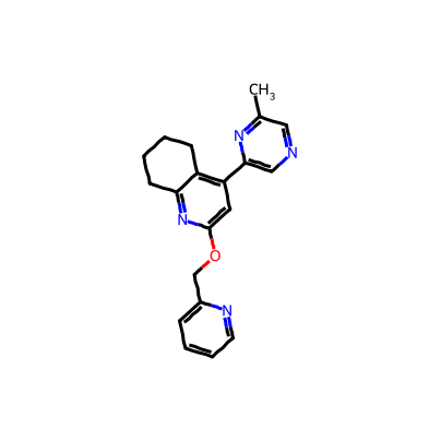 Cc1cncc(-c2cc(OCc3ccccn3)nc3c2CCCC3)n1